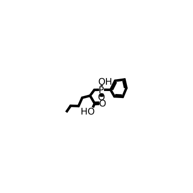 CCCCC(CP(=O)(O)c1ccccc1)C(=O)O